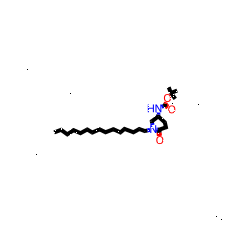 CCCCCCCCCCCCCCCN1CC(NC(=O)OC(C)(C)C)CCC1=O